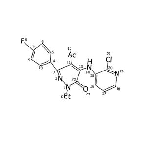 CCn1nc(-c2ccc(F)cc2)c(C(C)=O)c(Nc2cccnc2Cl)c1=O